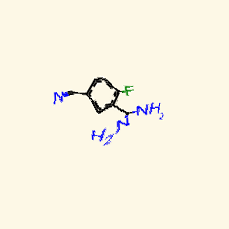 N#Cc1ccc(F)c(C(N)N)c1